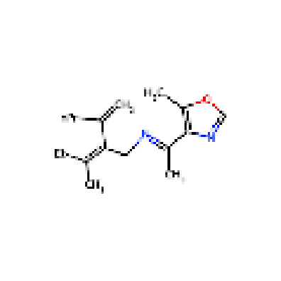 C=C(CCC)/C(C/N=C(\C)c1ncoc1C)=C(/C)CC